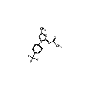 CC(=O)N=c1sc(C)cn1-c1ccc(C(F)(F)F)cc1